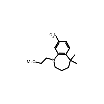 COCCN1CCCC(C)(C)c2ccc([N+](=O)[O-])cc21